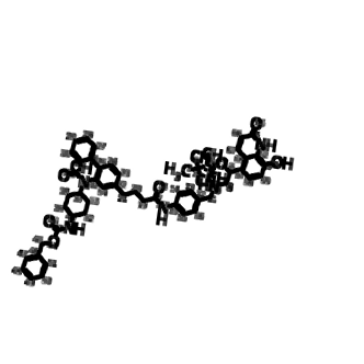 CC(C)(C)[Si](C)(C)OC(CNCc1ccc(NC(=O)CCCc2ccc(-c3ccccc3)c(N(C(=O)O)C3CCC(NC(=O)OCc4ccccc4)CC3)c2)cc1)c1ccc(O)c2[nH]c(=O)ccc12